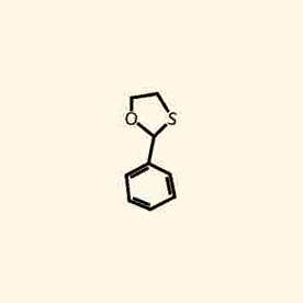 c1ccc(C2OCCS2)cc1